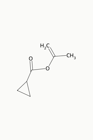 C=C(C)OC(=O)C1CC1